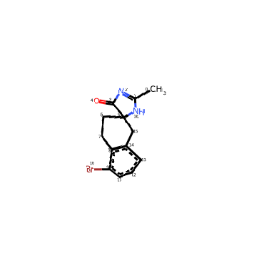 CC1=NC(=O)C2(CCc3c(Br)cccc3C2)N1